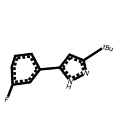 CC(C)(C)c1cc(-c2cccc(F)c2)[nH]n1